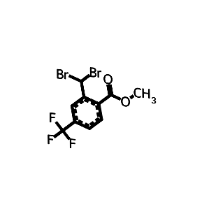 COC(=O)c1ccc(C(F)(F)F)cc1C(Br)Br